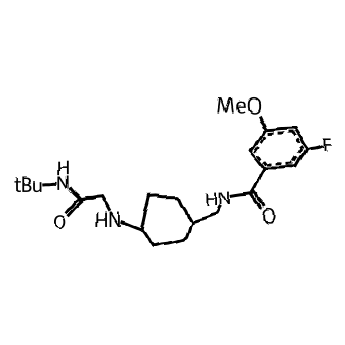 COc1cc(F)cc(C(=O)NCC2CCC(NCC(=O)NC(C)(C)C)CC2)c1